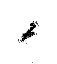 CC(C)c1ccccc1[C@@H]1CCCN1C1CC2(CCN(c3ccc(C(=O)NS(=O)(=O)c4cc5c(c([N+](=O)[O-])c4)N[C@@H](C4CCC(C)(C)CC4)CO5)c(Oc4cc5cc[nH]c5nc4N4CCOCC4)c3)CC2)C1